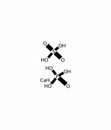 O=P(O)(O)O.O=S(=O)(O)O.[CaH2]